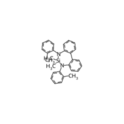 Cc1ccccc1N1c2ccccc2-c2ccccc2N(c2ccccc2C)[Si]1(C)C